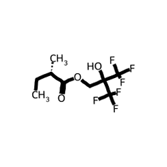 CC[C@H](C)C(=O)OCC(O)(C(F)(F)F)C(F)(F)F